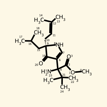 COC(=O)C(N)(C1=CN[C@](CC=C(C)C)(CC(C)C)C1=O)C(C)(C)C